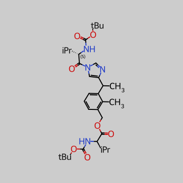 Cc1c(COC(=O)C(NC(=O)OC(C)(C)C)C(C)C)cccc1C(C)c1cn(C(=O)[C@@H](NC(=O)OC(C)(C)C)C(C)C)cn1